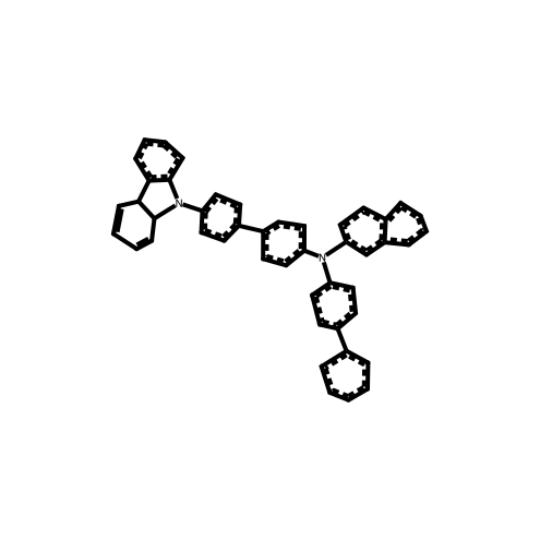 C1=CC2c3ccccc3N(c3ccc(-c4ccc(N(c5ccc(-c6ccccc6)cc5)c5ccc6ccccc6c5)cc4)cc3)C2C=C1